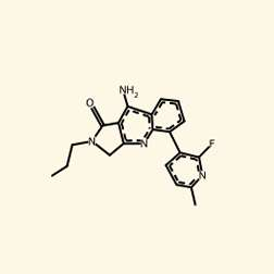 CCCN1Cc2nc3c(-c4ccc(C)nc4F)cccc3c(N)c2C1=O